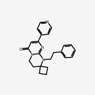 O=c1cc(-c2ccncc2)nc2n1CCC1(CCC1)N2CCc1ccccc1